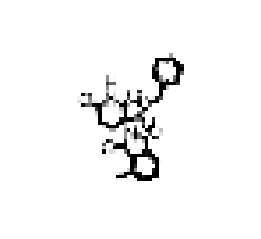 Cc1cccc2c1C(=O)N([C@]1(C(=O)OCc3ccccc3)CCC(=O)NC1=O)C2=O